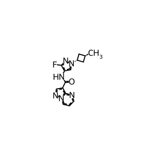 C[C@H]1C[C@H](n2cc(NC(=O)c3cnn4cccnc34)c(F)n2)C1